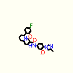 COc1cc(NC(=O)c2ccc3n(c2=O)C(c2ccc(F)cc2)CCC3)ccc1-n1cnc(C)c1